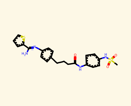 CS(=O)(=O)Nc1ccc(NC(=O)CCCc2ccc(/N=C(\N)c3cccs3)cc2)cc1